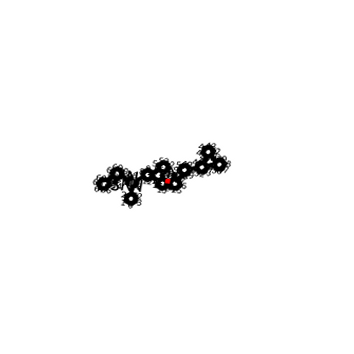 c1ccc(-c2nc(-c3ccc4c(c3)c3ccccc3c3c(-n5c6ccccc6c6cc(-c7ccc8c9ccccc9c9ccccc9c8c7)ccc65)cccc43)nc(-c3cccc4c3sc3ccccc34)n2)cc1